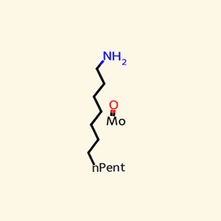 CCCCCCCCCCCCN.[O]=[Mo]